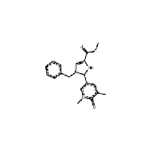 COC(=O)C1=CN(Cc2ccccc2)C(c2cc(C)c(=O)n(C)c2)N1